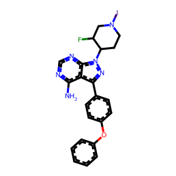 Nc1ncnc2c1c(-c1ccc(Oc3ccccc3)cc1)nn2C1CCN(I)CC1F